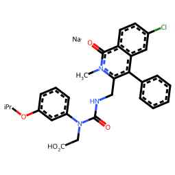 CC(C)Oc1cccc(N(CC(=O)O)C(=O)NCc2c(-c3ccccc3)c3cc(Cl)ccc3c(=O)n2C)c1.[Na]